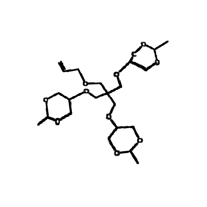 C=CCOCC(COC1COC(C)OC1)(COC1COC(C)OC1)COC1COC(C)OC1